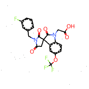 O=C(O)CN1C(=O)C2(CC(=O)N(Cc3cccc(F)c3)C2=O)c2cc(OC(F)(F)F)ccc21